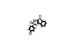 NS(=O)(=Nc1c[nH]c2ccccc12)c1ccc(Cl)cc1